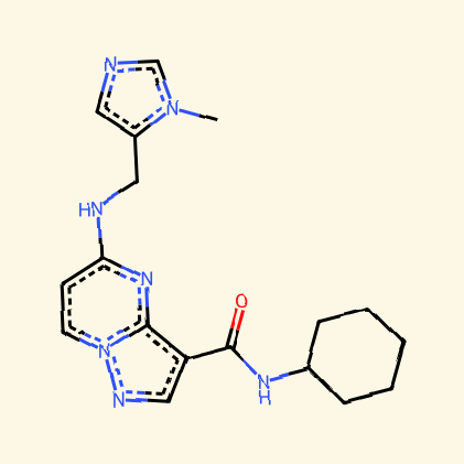 Cn1cncc1CNc1ccn2ncc(C(=O)NC3CCCCC3)c2n1